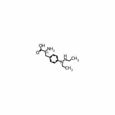 CCNN(CC)c1ccc(C[C@H](N)C(=O)O)cc1